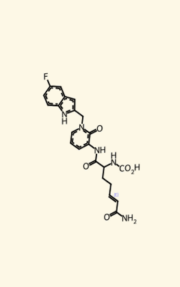 NC(=O)/C=C/CCC(NC(=O)O)C(=O)Nc1cccn(Cc2cc3cc(F)ccc3[nH]2)c1=O